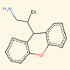 CCC(CN)C1c2ccccc2Oc2ccccc21